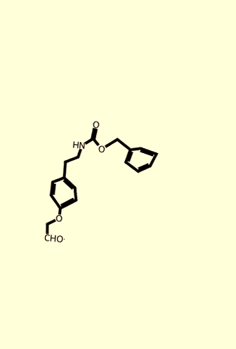 O=[C]COc1ccc(CCNC(=O)OCc2ccccc2)cc1